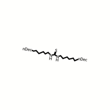 CCCCCCCCCCCCCCCCNC(=S)NCCCCCCCCCCCCCCCC